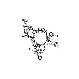 CSCC[C@@H]1NC(=O)[C@@H](NC(=O)[C@H](C)NC(=O)[C@@H](N)Cc2ccccc2)[C@@H](C)OC(=O)C[C@@H]2NC(=O)[C@H](COC(=O)C[C@@H](C(=O)N[C@@H](CCC(=O)O)C(=O)O)NC(=O)[C@H](CO)NC2=O)NC(=O)[C@@H]2CCCN2C(=O)[C@H](Cc2ccc(O)cc2)NC(=O)[C@H](CCCNC(=N)N)NC1=O